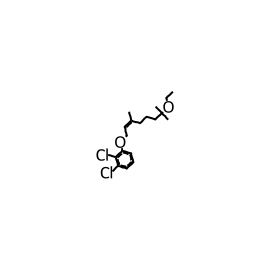 CCOC(C)(C)CCCC(C)=CCOc1cccc(Cl)c1Cl